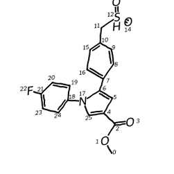 COC(=O)c1cc(-c2ccc(C[SH](=O)=O)cc2)n(-c2ccc(F)cc2)c1